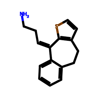 NCCC=C1c2ccccc2CCc2ccsc21